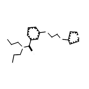 CCCN(CCC)C(=O)c1cccc(OCCNc2ccncc2)c1